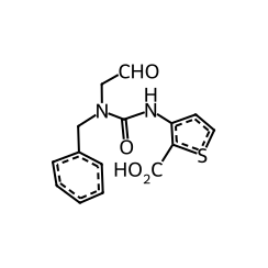 O=CCN(Cc1ccccc1)C(=O)Nc1ccsc1C(=O)O